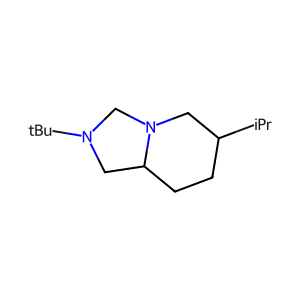 CC(C)C1CCC2CN(C(C)(C)C)CN2C1